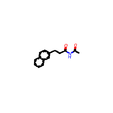 CC(=O)NC(=O)CCc1ccc2ccccc2c1